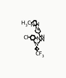 Cc1ccnc(N2CCC(c3nnc4n3-c3ccc(Cl)cc3CN(C35CC(C(F)(F)F)(C3)C5)C4)CC2)n1